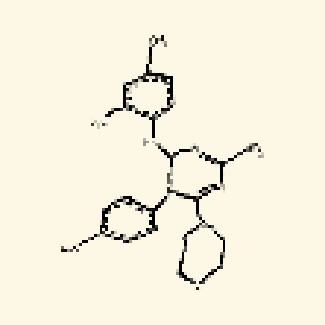 COc1ccc(N2C(N3CCOCC3)=NC(N)=NC2Nc2ccc(C)cc2C)cc1